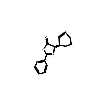 O=C1OC(c2ccccc2)=N/C1=C1/C=CCCC1